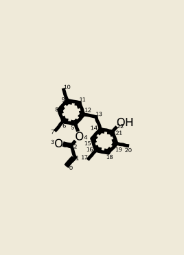 C=CC(=O)Oc1c(C)cc(C)cc1Cc1cc(C)cc(C)c1O